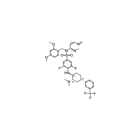 C=N/C=C\C(=N/C)N(Cc1ccc(OC)cc1OC)S(=O)(=O)c1cc(F)c(N[C@H]2CC[C@H](c3cccc(C(F)(F)F)c3)C[C@@H]2N(C)C)c(F)c1